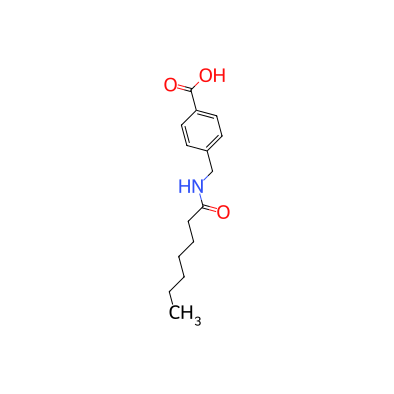 CCCCCCC(=O)NCc1ccc(C(=O)O)cc1